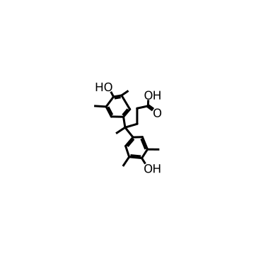 Cc1cc(C(C)(CCC(=O)O)c2cc(C)c(O)c(C)c2)cc(C)c1O